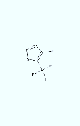 Fc1ccsc1C(F)(F)F